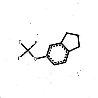 FC(F)(F)Oc1ccc2c(c1)C[CH]C2